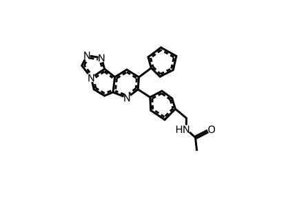 CC(=O)NCc1ccc(-c2nc3ccn4cnnc4c3cc2-c2ccccc2)cc1